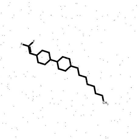 CCCCCCCCC1CCC(C2CCC(C=C(F)F)CC2)CC1